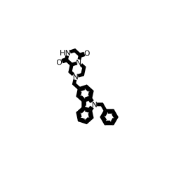 O=C1NCC(=O)N2CCN(Cc3ccc4c(c3)c3ccccc3n4Cc3ccccc3)CC12